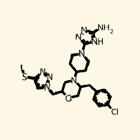 Nc1nnc(N2CCC(N3CC(Cn4cc(SI)nn4)OCC3Cc3ccc(Cl)cc3)CC2)[nH]1